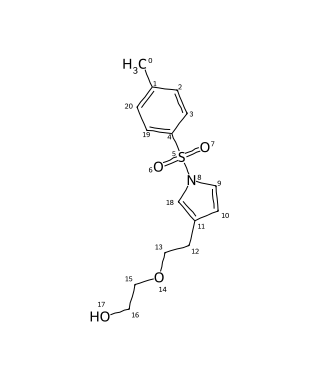 Cc1ccc(S(=O)(=O)n2ccc(CCOCCO)c2)cc1